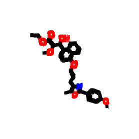 CCOC(=O)C(OC)C(O)c1ccc(OCCCc2nc(-c3ccc(OC)cc3)oc2C)c2ccccc12